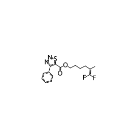 CC(CCCCOC(=O)c1snnc1-c1ccccc1)=C(F)F